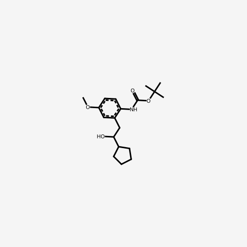 COc1ccc(NC(=O)OC(C)(C)C)c(CC(O)C2CCCC2)c1